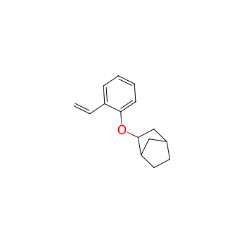 C=Cc1ccccc1OC1CC2CCC1C2